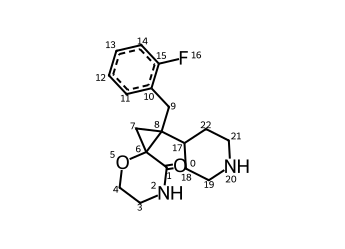 O=C1NCCOC12CC2(Cc1ccccc1F)C1CCNCC1